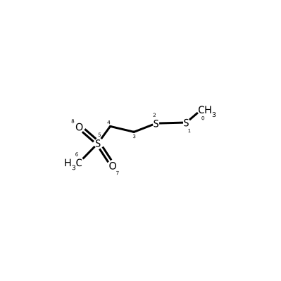 CSSCCS(C)(=O)=O